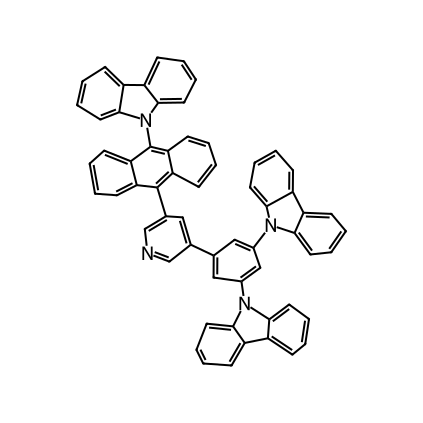 c1ccc2c(-n3c4ccccc4c4ccccc43)c3ccccc3c(-c3cncc(-c4cc(-n5c6ccccc6c6ccccc65)cc(-n5c6ccccc6c6ccccc65)c4)c3)c2c1